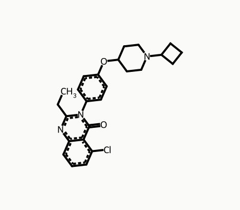 CCc1nc2cccc(Cl)c2c(=O)n1-c1ccc(OC2CCN(C3CCC3)CC2)cc1